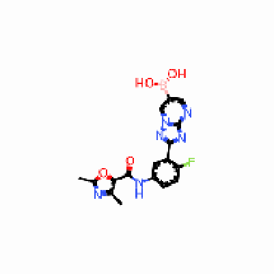 Cc1nc(C)c(C(=O)Nc2ccc(F)c(-c3nc4ncc(B(O)O)cn4n3)c2)o1